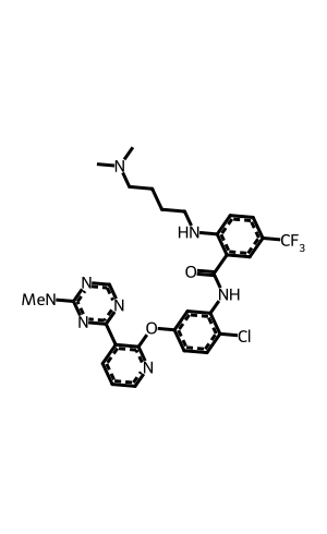 CNc1ncnc(-c2cccnc2Oc2ccc(Cl)c(NC(=O)c3cc(C(F)(F)F)ccc3NCCCCN(C)C)c2)n1